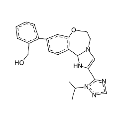 CC(C)n1ncnc1C1=CN2CCOc3cc(-c4ccccc4CO)ccc3C2N1